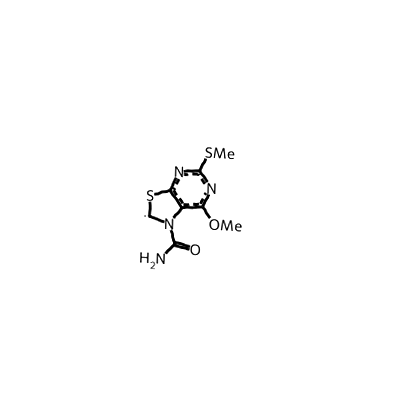 COc1nc(SC)nc2c1N(C(N)=O)[CH]S2